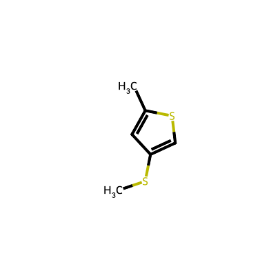 CSc1csc(C)c1